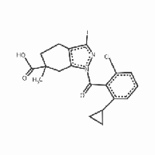 CC1(C(=O)O)CCc2c(I)nn(C(=O)c3c(Cl)cccc3C3CC3)c2C1